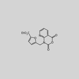 CCOC(=O)c1ccc(Cn2c(=O)oc(=O)c3cccnc32)o1